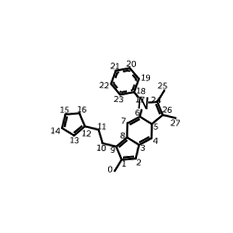 CC1=CC2=CC3C(=CC2=C1CCC1=CC=CC1)N(c1ccccc1)C(C)=C3C